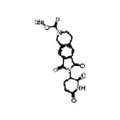 CC(C)(C)OC(=O)N1CCc2cc3c(cc2C1)C(=O)N(C1CCC(=O)NC1=O)C3=O